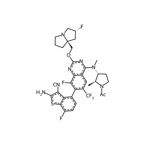 CC(=O)N1CC[C@@H](N(C)c2nc(OC[C@@]34CCCN3C[C@H](F)C4)nc3c(F)c(-c4ccc(F)c5sc(N)c(C#N)c45)c(C(F)(F)F)cc23)[C@@H]1C